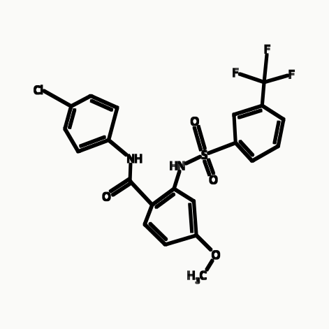 COc1ccc(C(=O)Nc2ccc(Cl)cc2)c(NS(=O)(=O)c2cccc(C(F)(F)F)c2)c1